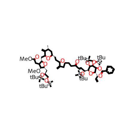 C=CC[C@@H]1O[C@@H](C(/C=C/C(=O)CCC2CC(=C)C(CC[C@H]3C[C@@H](C)C(=C)C(C[C@@H]4O[C@H](C[C@@H](CO[Si](C)(C)C(C)(C)C)O[Si](C)(C)C(C)(C)C)[C@H](OC)C4CC(=O)OC)O3)O2)O[Si](C)(C)C(C)(C)C)C(O[Si](C)(C)C(C)(C)C)C(O[Si](C)(C)C(C)(C)C)C1OC(=O)c1ccccc1